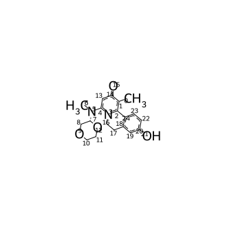 Cc1c2n(c(N(C)[C@H]3COCCO3)cc1=O)CCc1cc(O)ccc1-2